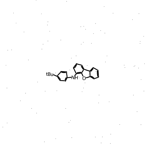 CC(C)(C)c1ccc(Nc2cccc3c2oc2ccccc23)cc1